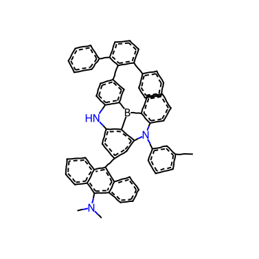 Cc1cccc(N2c3ccccc3B3c4cc(-c5c(-c6ccccc6)cccc5-c5ccccc5)ccc4Nc4cc(-c5c6ccccc6c(N(C)C)c6ccccc56)cc2c43)c1